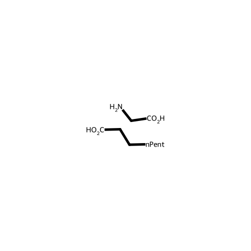 CCCCCCCC(=O)O.NCC(=O)O